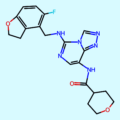 O=C(Nc1cnc(NCc2c(F)ccc3c2CCO3)n2cnnc12)C1CCOCC1